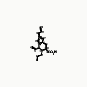 C=CCN(CC=C)[C@@H](Cc1cn(CC=C)cn1)C(=O)O